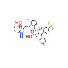 O=C(O)NC(C(=O)Nc1cccc(F)c1CCC1CNC2CCCS(=O)(=O)N1C2)C(c1ccc(F)cc1)c1ccc(C(F)(F)F)cc1